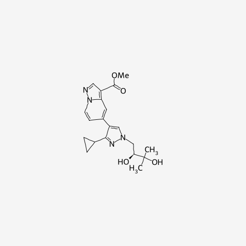 COC(=O)c1cnn2ccc(-c3cn(C[C@H](O)C(C)(C)O)nc3C3CC3)cc12